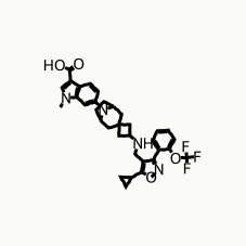 Cn1cc(C(=O)O)c2ccc(N3C4CCC3CC3(CC(NCc5c(-c6ccccc6OC(F)(F)F)noc5C5CC5)C3)C4)cc21